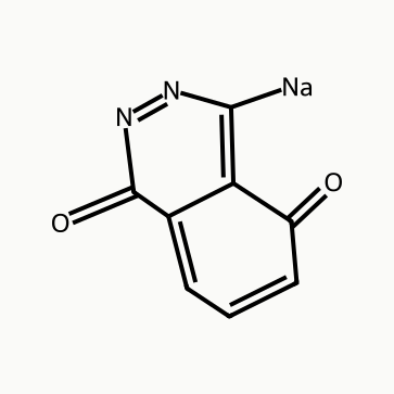 O=C1C=CC=C2C(=O)N=N[C]([Na])=C12